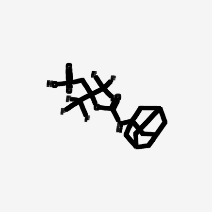 O=C(NC12CC3CC(CC(C3)C1)C2)OC(CS(=O)(=O)O)(C(F)(F)F)C(F)(F)F